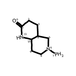 O=C1CCC2CN(P)CCC2N1